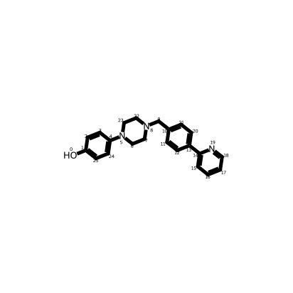 Oc1ccc(N2CCN(Cc3ccc(-c4ccccn4)cc3)CC2)cc1